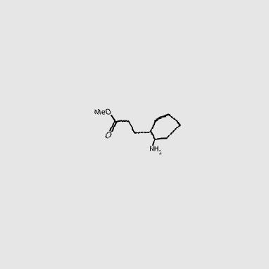 COC(=O)CCC1CCCCC1N